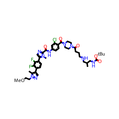 COCCn1ncc(-c2ccc(-c3cnc(C(=O)Nc4ccc(C(=O)N5CCN(C(=O)CCCNCC(C)CNC(=O)OC(C)(C)C)CC5)c(Cl)c4)n3C)c(F)c2F)c1C